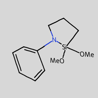 CO[Si]1(OC)CCCN1c1ccccc1